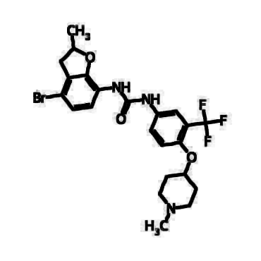 CC1Cc2c(Br)ccc(NC(=O)Nc3ccc(OC4CCN(C)CC4)c(C(F)(F)F)c3)c2O1